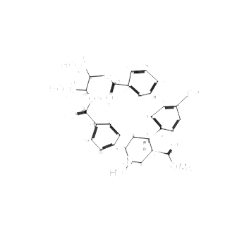 COC(=O)[C@H]1CN(C)CC[C@H]1c1ccc(F)cc1.O=C(OC(C(=O)O)C(OC(=O)c1ccccc1)C(=O)O)c1ccccc1